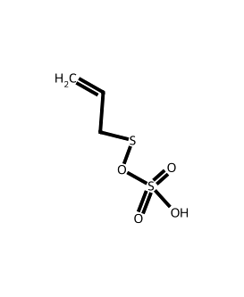 C=CCSOS(=O)(=O)O